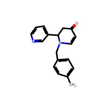 Cc1ccc(CN2C=CC(=O)CC2c2cccnc2)cc1